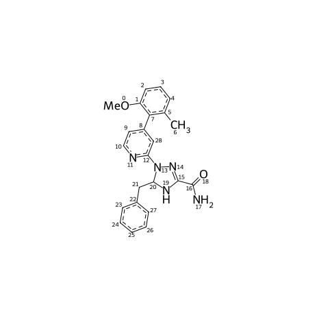 COc1cccc(C)c1-c1ccnc(N2N=C(C(N)=O)NC2Cc2ccccc2)c1